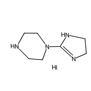 C1CNC(N2CCNCC2)=N1.I